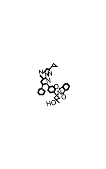 CC1(O)CC(c2ccc(-c3nc4c(cnc5cc(C6CC6)nn54)cc3-c3ccccc3)cc2)(N2C(=O)c3ccccc3C2=O)C1